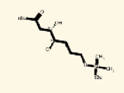 CCCCC(=O)C[C@H](O)[C@H](Cl)CCCO[Si](C)(C)C(C)(C)C